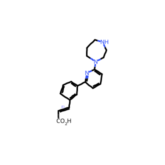 O=C(O)/C=C/c1cccc(-c2cccc(N3CCCNCC3)n2)c1